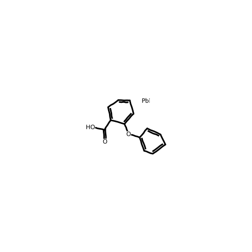 O=C(O)c1ccccc1Oc1ccccc1.[Pb]